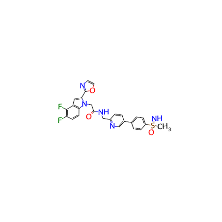 CS(=N)(=O)c1ccc(-c2ccc(CNC(=O)Cn3c(-c4ncco4)cc4c(F)c(F)ccc43)nc2)cc1